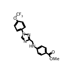 COC(=O)c1ccc(NCc2ncn(-c3ccc(OC(F)(F)F)cc3)n2)cc1